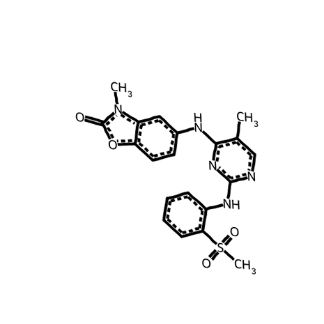 Cc1cnc(Nc2ccccc2S(C)(=O)=O)nc1Nc1ccc2oc(=O)n(C)c2c1